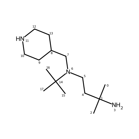 CC(C)(N)CCN(CC1CCNCC1)C(C)(C)C